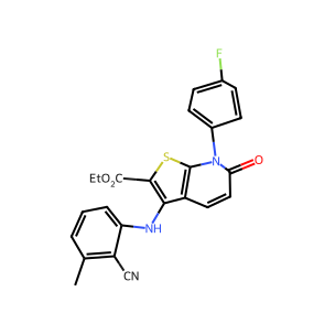 CCOC(=O)c1sc2c(ccc(=O)n2-c2ccc(F)cc2)c1Nc1cccc(C)c1C#N